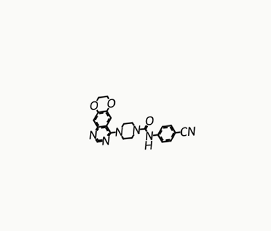 N#Cc1ccc(NC(=O)N2CCN(c3ncnc4cc5c(cc34)OCCO5)CC2)cc1